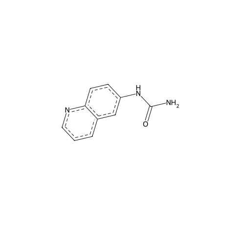 NC(=O)Nc1ccc2ncccc2c1